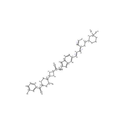 C\C=N/C(COC1CCCC(F)(F)C1)=N\C=C\c1ccn2nc(NC(=O)C3CC(N4CCN(C(=O)c5ccnc(C)c5)CC4C)C3)cc2c1